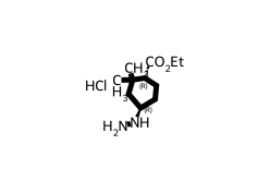 CCOC(=O)[C@@H]1CC[C@@H](NN)CC1(C)C.Cl